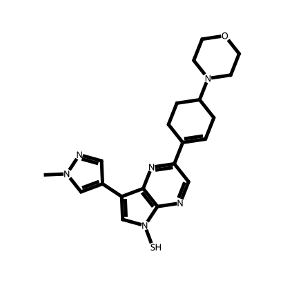 Cn1cc(-c2cn(S)c3ncc(C4=CCC(N5CCOCC5)CC4)nc23)cn1